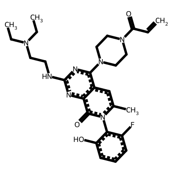 C=CC(=O)N1CCN(c2nc(NCCN(CC)CC)nc3c(=O)n(-c4c(O)cccc4F)c(C)cc23)CC1